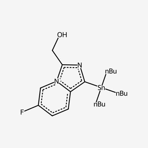 CCC[CH2][Sn]([CH2]CCC)([CH2]CCC)[c]1nc(CO)n2cc(F)ccc12